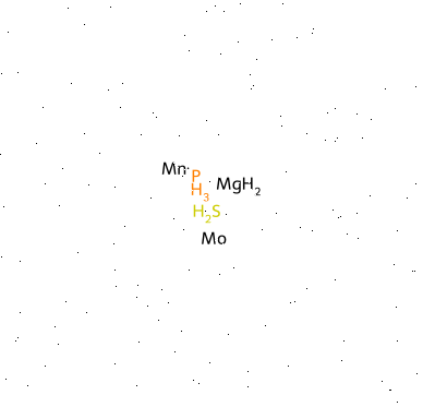 P.S.[MgH2].[Mn].[Mo]